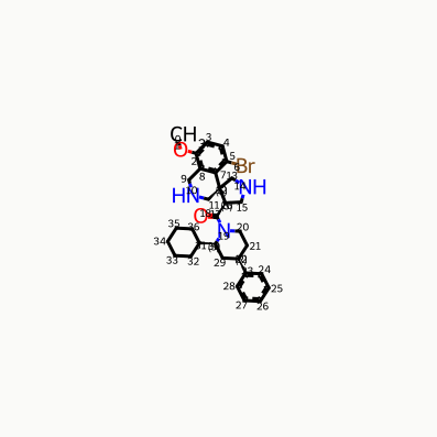 COc1ccc(Br)c2c1CNC[C@]21CNC[C@H]1C(=O)N1CC[C@@H](c2ccccc2)C[C@H]1C1CCCCC1